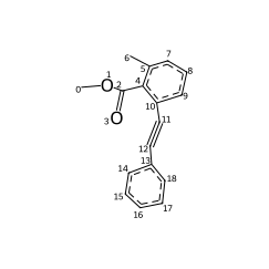 COC(=O)c1c(C)cccc1C#Cc1ccccc1